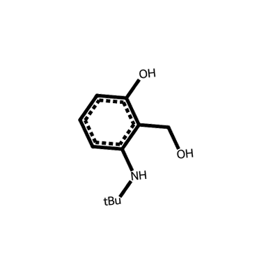 CC(C)(C)Nc1cccc(O)c1CO